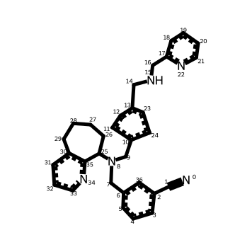 N#Cc1cccc(CN(Cc2ccc(CNCc3ccccn3)cc2)C2CCCCc3cccnc32)c1